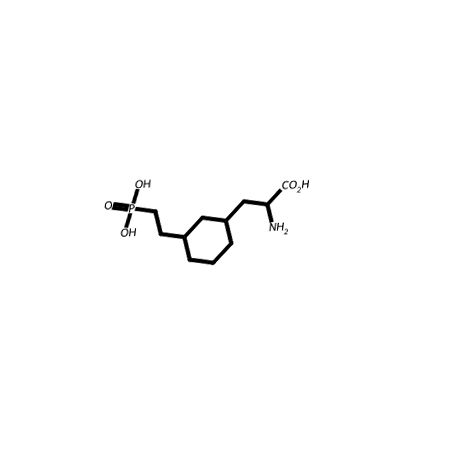 NC(CC1CCCC(CCP(=O)(O)O)C1)C(=O)O